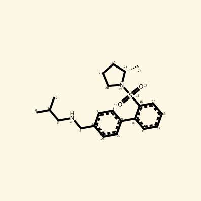 CC(C)CNCc1ccc(-c2ccccc2S(=O)(=O)N2CCC[C@@H]2C)cc1